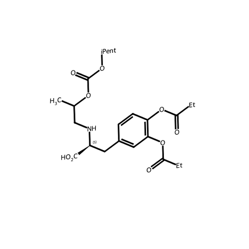 CCCC(C)OC(=O)OC(C)CN[C@@H](Cc1ccc(OC(=O)CC)c(OC(=O)CC)c1)C(=O)O